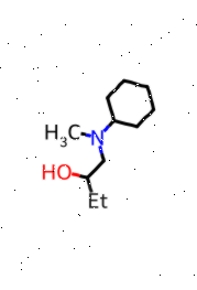 CCC(O)CN(C)C1CCCCC1